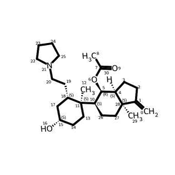 C=C1CC[C@@H]2[C@H](OC(C)=O)[C@H]([C@@]3(C)CC[C@H](O)C[C@@H]3CCN3CCCC3)CC[C@]12C